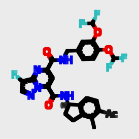 CC(=O)c1ccc2c(c1C)CC[C@@H]2NC(=O)c1cc(C(=O)NCc2ccc(OC(F)F)c(OC(F)F)c2)nc2c(F)cnn12